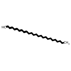 [CH]=CC=CC=CC=CC=CCCCCCCCCCCCCCCCC